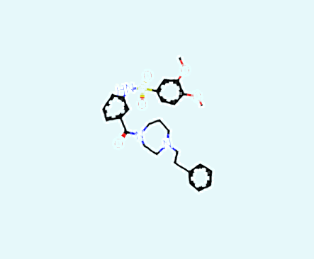 COc1ccc(S(=O)(=O)Nc2cccc(C(=O)N3CCCN(CCc4ccccc4)CC3)c2)cc1OC